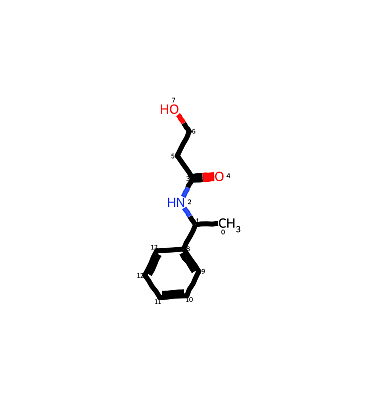 CC(NC(=O)CCO)c1ccccc1